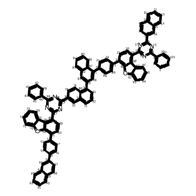 c1ccc(-c2nc(-c3ccc4ccccc4c3)nc(-c3ccc(-c4ccc(-c5cc(-c6cccc7cc(-c8nc(-c9ccccc9)nc(-c9ccc(-c%10ccc(-c%11ccc%12ccccc%12c%11)cc%10)c%10oc%11ccccc%11c9%10)n8)ccc67)cc6ccccc56)cc4)c4oc5ccccc5c34)n2)cc1